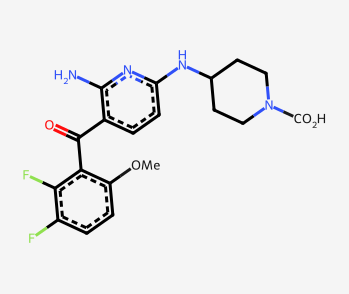 COc1ccc(F)c(F)c1C(=O)c1ccc(NC2CCN(C(=O)O)CC2)nc1N